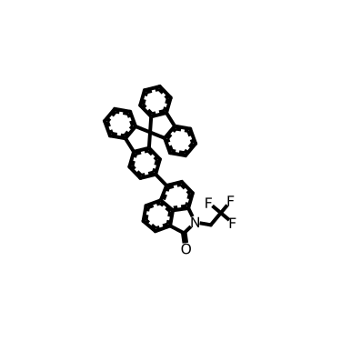 O=C1c2cccc3c(-c4ccc5c(c4)C4(c6ccccc6-c6ccccc64)c4ccccc4-5)ccc(c23)N1CC(F)(F)F